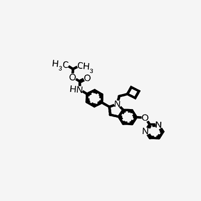 CC(C)OC(=O)Nc1ccc(C2Cc3ccc(Oc4ncccn4)cc3N2CC2CCC2)cc1